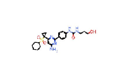 Nc1cc(C2(S(=O)(=O)C3CCCCC3)CC2)nc(-c2ccc(NC(=O)NCCCO)cc2)n1